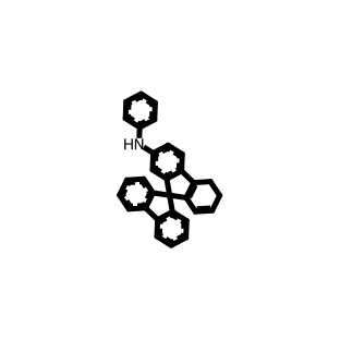 C1=CC2=C(CC1)c1ccc(Nc3ccccc3)cc1C21c2ccccc2-c2ccccc21